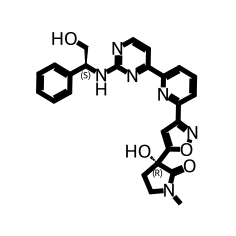 CN1CC[C@@](O)(c2cc(-c3cccc(-c4ccnc(N[C@H](CO)c5ccccc5)n4)n3)no2)C1=O